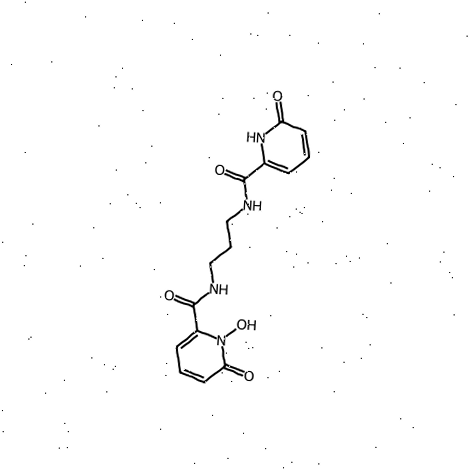 O=C(NCCCNC(=O)c1cccc(=O)n1O)c1cccc(=O)[nH]1